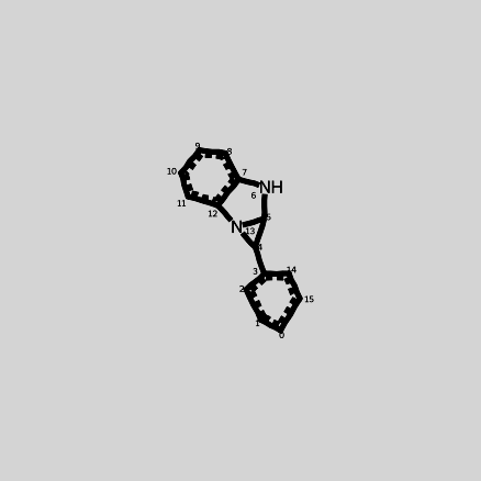 c1ccc(C2C3Nc4ccccc4N32)cc1